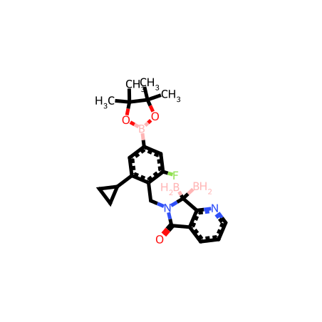 BC1(B)c2ncccc2C(=O)N1Cc1c(F)cc(B2OC(C)(C)C(C)(C)O2)cc1C1CC1